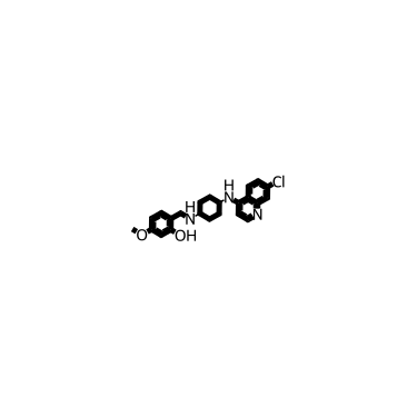 COc1ccc(CN[C@H]2CC[C@@H](Nc3ccnc4cc(Cl)ccc34)CC2)c(O)c1